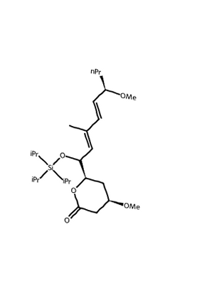 CCC[C@H](/C=C/C(C)=C/C(O[Si](C(C)C)(C(C)C)C(C)C)[C@H]1C[C@@H](OC)CC(=O)O1)OC